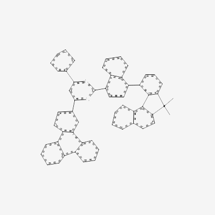 CC1(C)c2cccc(-c3ccc(-c4nc(-c5ccccc5)cc(-c5ccc6c7ccccc7c7ccccc7c6c5)n4)c4ccccc34)c2-c2c1ccc1ccccc21